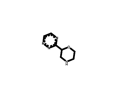 c1cnc([C]2CNCCO2)nn1